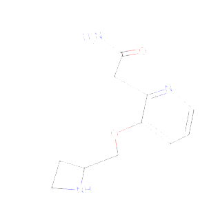 NC(=O)Cc1ncccc1OCC1CCN1